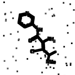 CNC(C)/C(Cl)=C(\N)C(=O)Nc1cccnc1